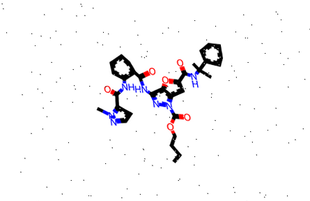 CCCCOC(=O)n1nc(NC(=O)c2ccccc2NC(=O)c2ccnn2C)c2oc(C(=O)NC(C)(C)c3ccccc3)cc21